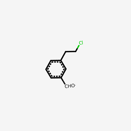 O=[C]c1cccc(CCCl)c1